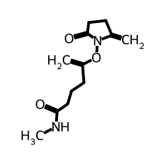 C=C(CCCC(=O)NC)ON1C(=C)CCC1=O